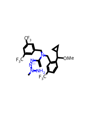 C=C(/N=N\N(C)N)N(Cc1cc(C(F)(F)F)cc(C(F)(F)F)c1)Cc1cc(C(F)(F)F)ccc1C(OC)C1CC1